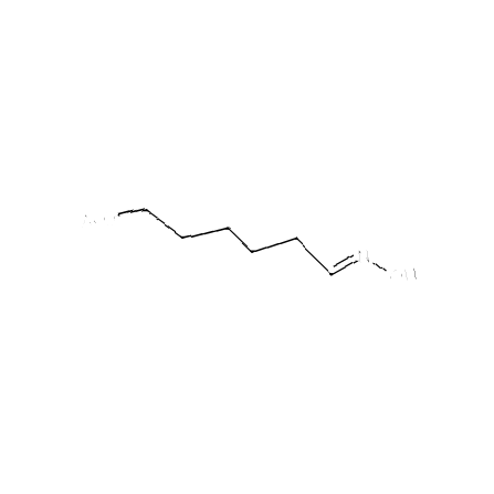 CC(=O)OCCCCCC=NO